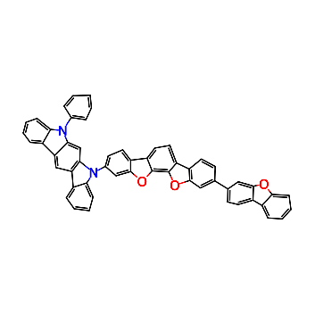 c1ccc(-n2c3ccccc3c3cc4c5ccccc5n(-c5ccc6c(c5)oc5c6ccc6c7ccc(-c8ccc9c(c8)oc8ccccc89)cc7oc65)c4cc32)cc1